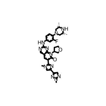 C[C@@H]1CN(c2ccc(Nc3ncc4cc(-c5nc(-c6cnn(C)n6)cn5C)c(=O)n(C5CCOC5)c4n3)cc2F)C[C@H](C)N1